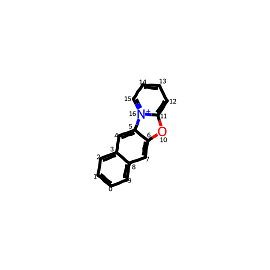 c1ccc2cc3c(cc2c1)oc1cccc[n+]13